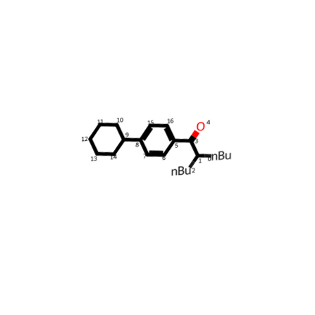 CCCCC(CCCC)C(=O)c1ccc(C2CCCCC2)cc1